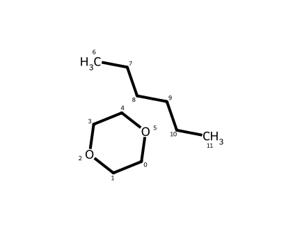 C1COCCO1.CCCCCC